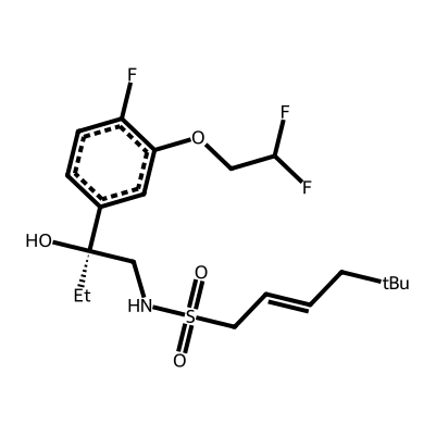 CC[C@@](O)(CNS(=O)(=O)C/C=C/CC(C)(C)C)c1ccc(F)c(OCC(F)F)c1